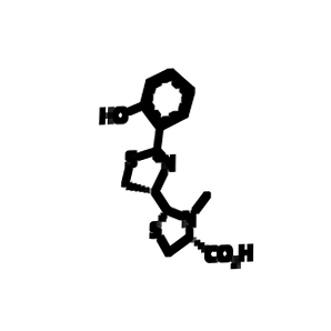 CN1[C@@H]([C@@H]2CSC(c3ccccc3O)=N2)SC[C@H]1C(=O)O